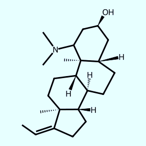 C/C=C1/CC[C@H]2[C@@H]3CC[C@H]4C[C@H](O)CC(N(C)C)[C@]4(C)[C@H]3CC[C@]12C